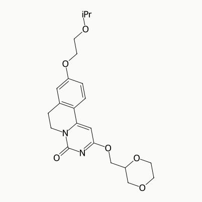 CC(C)OCCOc1ccc2c(c1)CCn1c-2cc(OCC2COCCO2)nc1=O